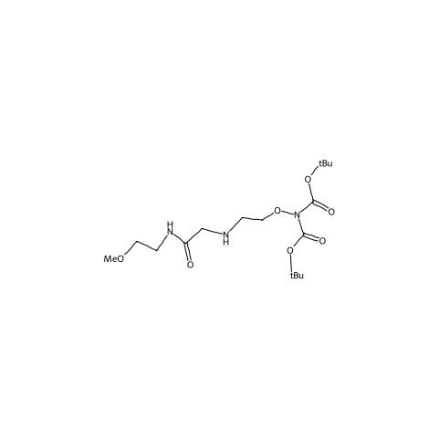 COCCNC(=O)CNCCON(C(=O)OC(C)(C)C)C(=O)OC(C)(C)C